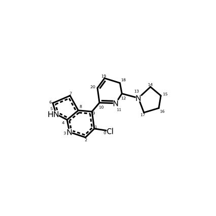 Clc1cnc2[nH]ccc2c1C1=NC(N2CCCC2)CC=C1